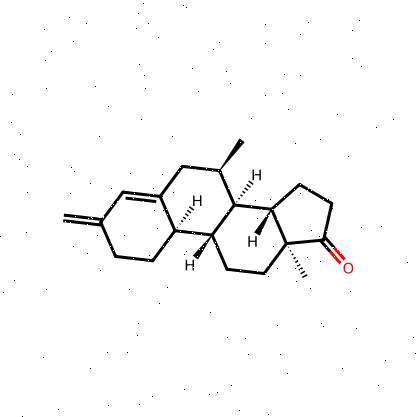 C=C1C=C2C[C@@H](C)[C@@H]3[C@H](CC[C@]4(C)C(=O)CC[C@@H]34)[C@H]2CC1